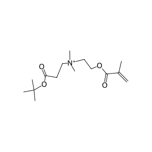 C=C(C)C(=O)OCC[N+](C)(C)CCC(=O)OC(C)(C)C